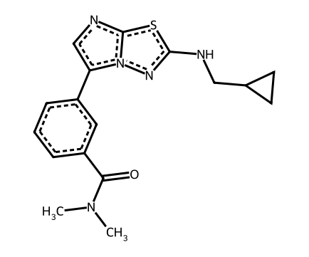 CN(C)C(=O)c1cccc(-c2cnc3sc(NCC4CC4)nn23)c1